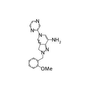 COc1ccccc1CN1CC23C=CC=C2N(c2cnccn2)C=C(N)C3=N1